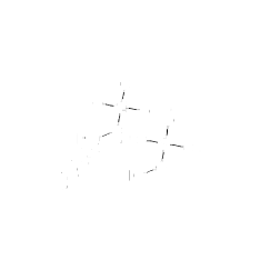 [O-][Si]([O-])([O-])OO.[O-][Si]([O-])([O-])OO.[Sr+2].[Sr+2].[Sr+2]